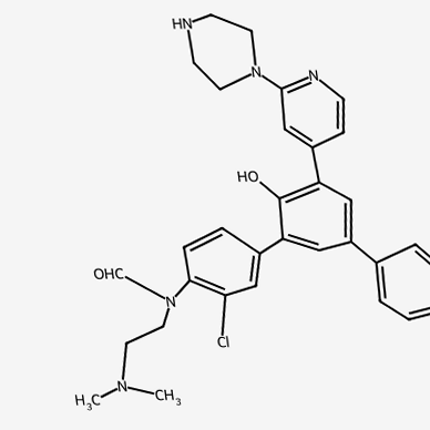 CN(C)CCN(C=O)c1ccc(-c2cc(-c3ccccc3)cc(-c3ccnc(N4CCNCC4)c3)c2O)cc1Cl